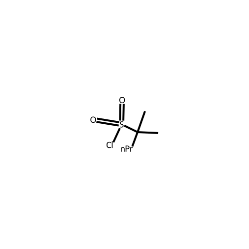 CCCC(C)(C)S(=O)(=O)Cl